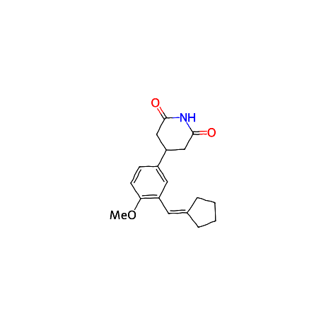 COc1ccc(C2CC(=O)NC(=O)C2)cc1C=C1CCCC1